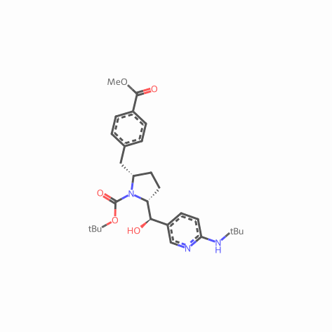 COC(=O)c1ccc(C[C@@H]2CC[C@H]([C@H](O)c3ccc(NC(C)(C)C)nc3)N2C(=O)OC(C)(C)C)cc1